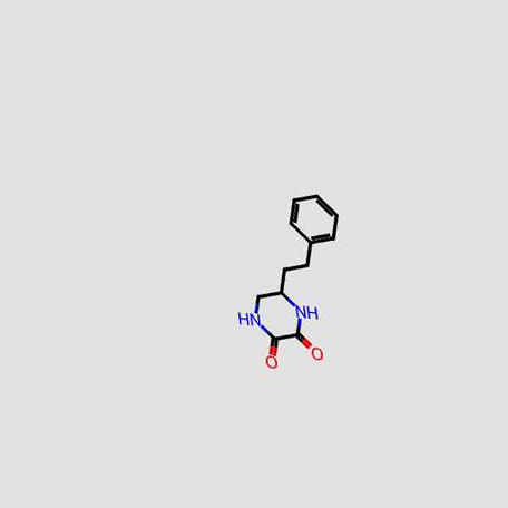 O=C1NCC(CCc2ccccc2)NC1=O